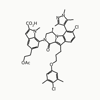 CC(=O)OCCc1cc(N2C[C@@H](C)n3c(c(CCCOc4cc(C)c(Cl)c(C)c4)c4ccc(Cl)c(-c5c(C)nn(C)c5C)c43)C2=O)c2c(c1)cc(C(=O)O)n2C